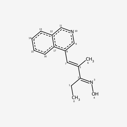 CCC(=N\O)/C(C)=C/c1cncc2ccccc12